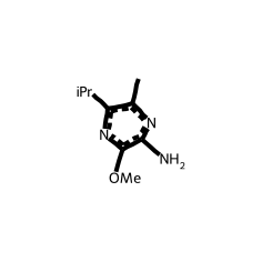 COc1nc(C(C)C)c(C)nc1N